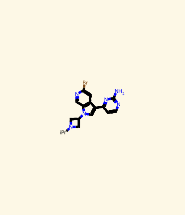 CC(C)N1CC(n2cc(-c3ccnc(N)n3)c3cc(Br)ncc32)C1